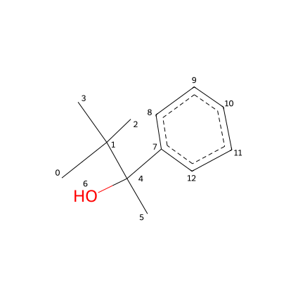 CC(C)(C)C(C)(O)c1ccccc1